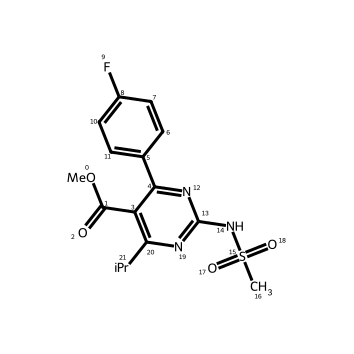 COC(=O)c1c(-c2ccc(F)cc2)nc(NS(C)(=O)=O)nc1C(C)C